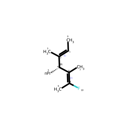 C/C=C(\C)[C@@H](CCC)/C(C)=C(\C)F